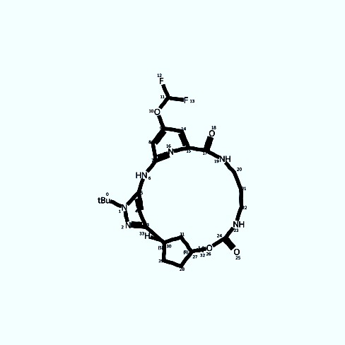 CC(C)(C)n1nc2cc1Nc1cc(OC(F)F)cc(n1)C(=O)NCCCNC(=O)O[C@@H]1CC[C@H]2C1